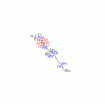 CCC(C)(CC)NC(=O)[C@@H](O)[C@H](O)[C@H](O)[C@@H](O)C(=O)NCCC(CC)(CC)C(C)(C)NC(=N)CCCCCCC(=N)NCCC(C)(C)C